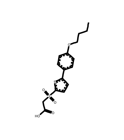 CCCCOc1ccc(-c2ccc(S(=O)(=O)CC(=O)O)s2)cc1